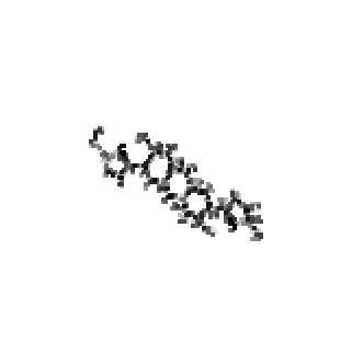 CCc1ccc(-c2cc3cc4cc(C)c(-c5ccc(C)s5)cc4cc3cc2C)s1